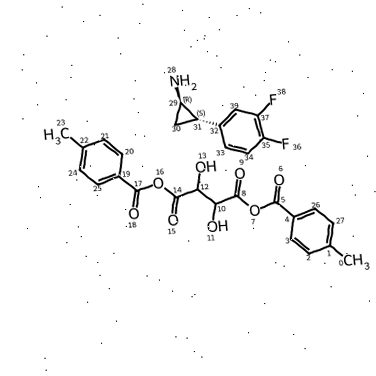 Cc1ccc(C(=O)OC(=O)C(O)C(O)C(=O)OC(=O)c2ccc(C)cc2)cc1.N[C@@H]1C[C@H]1c1ccc(F)c(F)c1